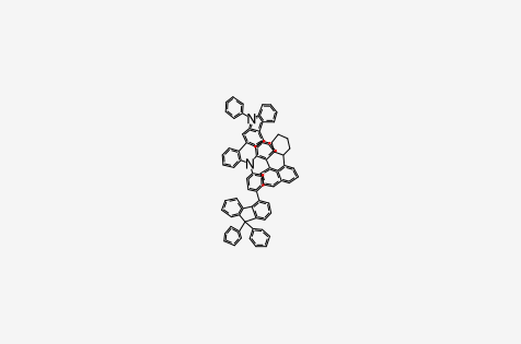 c1ccc(-n2c3ccccc3c3ccc(-c4ccccc4N(c4ccc(-c5cccc6c5-c5ccccc5C6(c5ccccc5)c5ccccc5)cc4)c4ccccc4-c4cccc5cccc(C6CCCCC6)c45)cc32)cc1